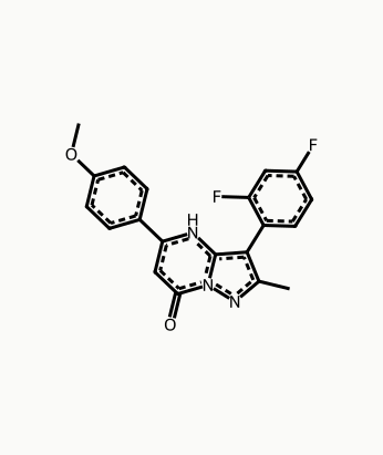 COc1ccc(-c2cc(=O)n3nc(C)c(-c4ccc(F)cc4F)c3[nH]2)cc1